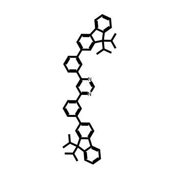 CC(C)C1(C(C)C)c2ccccc2-c2ccc(-c3cccc(-c4cc(-c5cccc(-c6ccc7c(c6)C(C(C)C)(C(C)C)c6ccccc6-7)c5)ncn4)c3)cc21